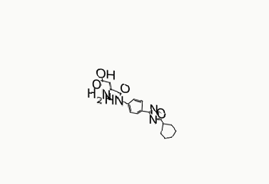 N[C@@H](CC(=O)O)C(=O)Nc1ccc(-c2noc(C3CCCCC3)n2)cc1